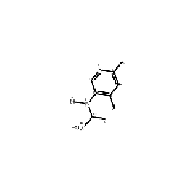 CCN(c1cnc(C)cc1C)C(C)C(=O)O